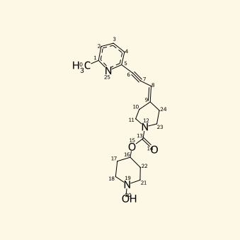 Cc1cccc(C#CC=C2CCN(C(=O)OC3CCN(O)CC3)CC2)n1